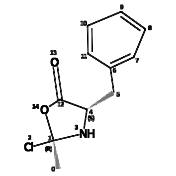 C[C@@]1(Cl)N[C@@H](Cc2ccccc2)C(=O)O1